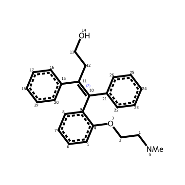 CNCCOc1ccccc1/C(=C(/CCO)c1ccccc1)c1ccccc1